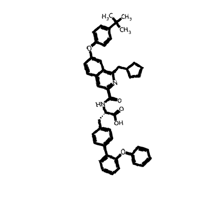 CC(C)(C)c1ccc(Oc2ccc3cc(C(=O)N[C@@H](Cc4ccc(-c5ccccc5Oc5ccccc5)cc4)C(=O)O)nc(CC4CCCC4)c3c2)cc1